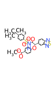 COC(=O)c1ccc(OC(C(=O)NS(=O)(=O)c2ccc(C(C)(C)C)cc2)c2ccc3nsnc3c2)cc1